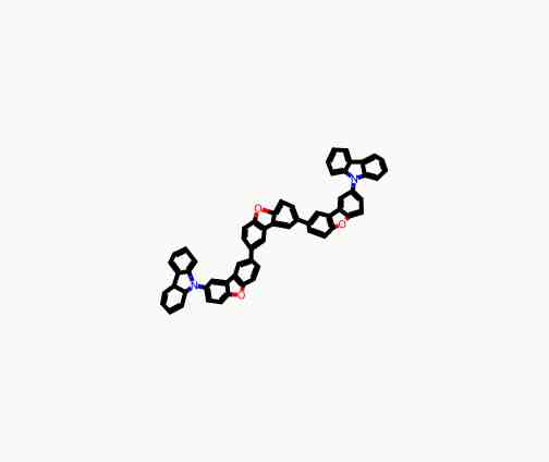 C1=CC2c3ccccc3N(c3ccc4oc5ccc(-c6ccc7oc8ccc(-c9ccc%10oc%11ccc(-n%12c%13ccccc%13c%13ccccc%13%12)cc%11c%10c9)cc8c7c6)cc5c4c3)C2C=C1